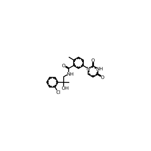 Cc1ccc(-n2ccc(=O)[nH]c2=O)cc1C(=O)NCC(C)(O)c1ccccc1Cl